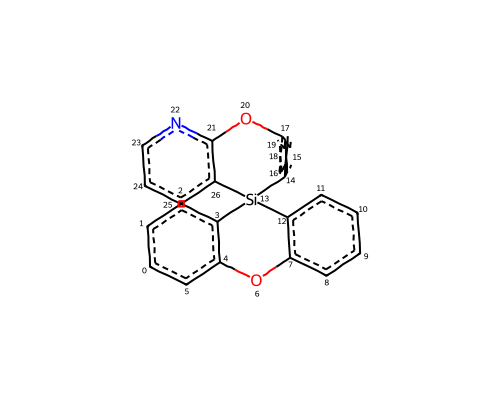 c1ccc2c(c1)Oc1ccccc1[Si]21c2ccccc2Oc2ncccc21